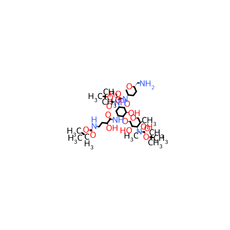 CN(C(=O)OC(C)(C)C)[C@@H]1[C@@H](O)[C@@H](O[C@@H]2[C@H](O)[C@H](ON(C(=O)O)[C@@H]3CC[C@@H](CN)OC3)[C@@H](NC(=O)OC(C)(C)C)C[C@H]2NC(=O)C(O)CCNC(=O)OC(C)(C)C)OC[C@]1(C)O